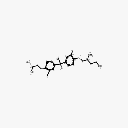 CCC(CC)(c1ccc(CC[C@H](O)C(C)(C)C)c(C)c1)c1ccc(OC[C@@H](N)CCO)c(C)c1